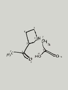 CC(=O)C1CCN1.CC(=O)O